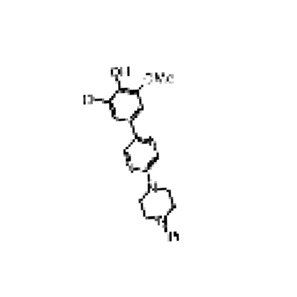 COc1cc(-c2cnc(N3CCN(C(C)C)CC3)cn2)cc(Cl)c1O